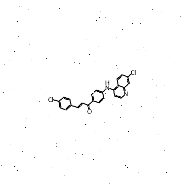 O=C(C=Cc1ccc(Cl)cc1)c1ccc(Nc2ccnc3cc(Cl)ccc23)cc1